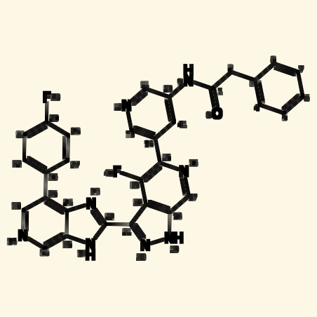 O=C(Cc1ccccc1)Nc1cncc(-c2ncc3[nH]nc(-c4nc5c(-c6ccc(F)cc6)cncc5[nH]4)c3c2F)c1